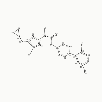 Cc1nc(N(C)C(=O)Cc2ccc(-c3cc(F)ccc3F)cc2)sc1SC1CC1